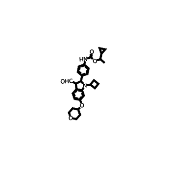 CC(OC(=O)Nc1ccc(C2C(C=O)c3ccc(OC4CCOCC4)cc3N2C2CCC2)cc1)C1CC1